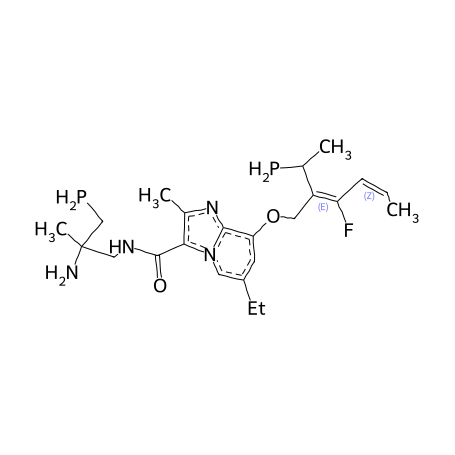 C/C=C\C(F)=C(\COc1cc(CC)cn2c(C(=O)NCC(C)(N)CP)c(C)nc12)C(C)P